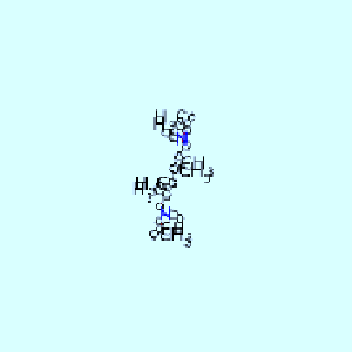 CC1(C)c2cc(-c3cccc(N(c4ccc5c(c4)C(C)(C)c4ccccc4-5)c4ccc5ccccc5c4)c3)ccc2-c2ccc(-c3ccc4c(c3)C(C)(C)c3cc(-c5cccc(N(c6ccc7c(c6)C(C)(C)c6ccccc6-7)c6ccc7ccccc7c6)c5)ccc3-4)cc21